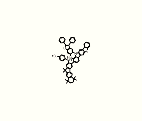 CC(C)(C)c1ccc(Nc2cc3c(cc2-c2ccc4c5cc6sc7ccccc7c6cc5n5c4c2Bc2cc4oc(-c6ccccc6)c(-c6ccccc6)c4cc2-5)-c2cc4c(cc2C3(C)C)C(C)(C)CCC4(C)C)cc1